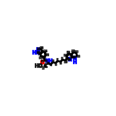 O=C(N[C@@H](CCCCCCCc1ccc2c(n1)NCCC2)C(=O)O)c1ccc2cn[nH]c2c1